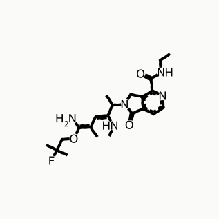 CCNC(=O)c1nccc2c1CN(C(C)/C(=C/C(C)=C(\N)OCC(C)(C)F)NC)C2=O